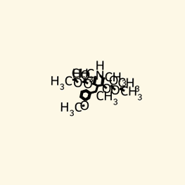 COc1cccc(C(C)C2C(OC(=O)OC(C)C)=C(C)NC(C)=C2OC(=O)OC(C)C)c1